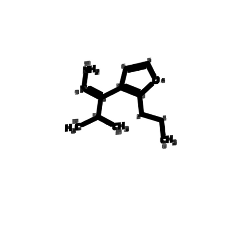 CCCc1occc1/C(=N\N)C(C)C